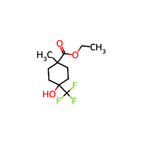 CCOC(=O)C1(C)CCC(O)(C(F)(F)F)CC1